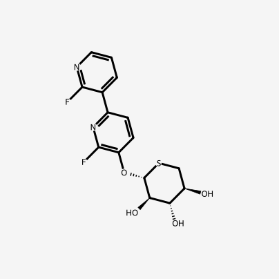 O[C@@H]1[C@@H](O)[C@H](Oc2ccc(-c3cccnc3F)nc2F)SC[C@H]1O